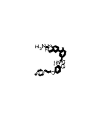 COc1ccc(OCCCN2CCN(C)CC2)cc1NC(=O)c1ccc(C)c(-c2ccc3nc(N)ncc3c2)c1